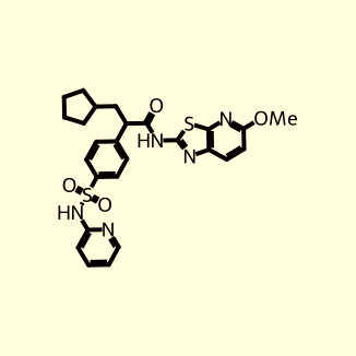 COc1ccc2nc(NC(=O)C(CC3CCCC3)c3ccc(S(=O)(=O)Nc4ccccn4)cc3)sc2n1